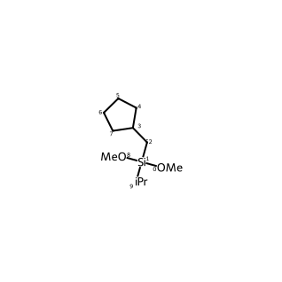 CO[Si]([CH]C1CCCC1)(OC)C(C)C